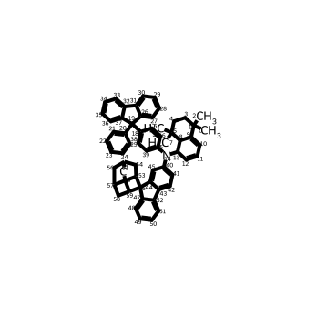 CC1(C)CCC(C)(C)C2C1=CC=CC2N(c1ccc(C2(c3ccccc3)c3ccccc3-c3ccccc32)cc1)c1ccc2c(c1)C1(c3ccccc3-2)C2CC3CC4CC1C42C3